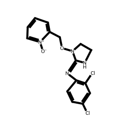 [O-][n+]1ccccc1CON1CCN/C1=N\c1ccc(Cl)cc1Cl